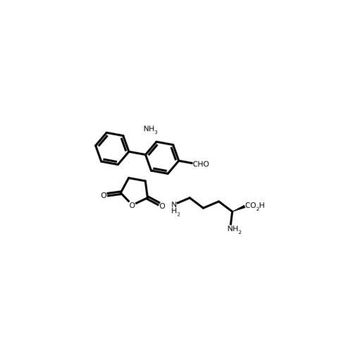 N.NCCC[C@H](N)C(=O)O.O=C1CCC(=O)O1.O=Cc1ccc(-c2ccccc2)cc1